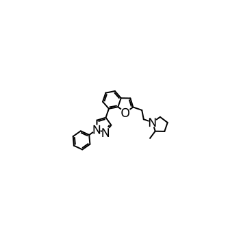 CC1CCCN1CCc1cc2cccc(-c3cnn(-c4ccccc4)c3)c2o1